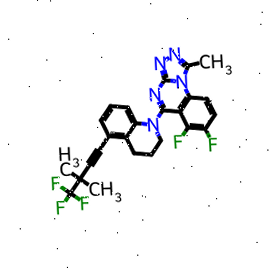 Cc1nnc2nc(N3CCCc4c(C#CC(C)(C)C(F)(F)F)cccc43)c3c(F)c(F)ccc3n12